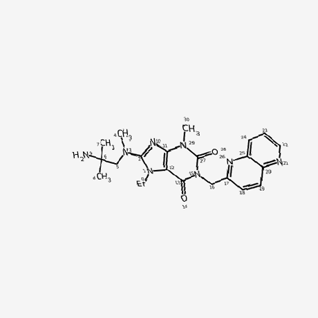 CCn1c(N(C)CC(C)(C)N)nc2c1c(=O)n(Cc1ccc3ncccc3n1)c(=O)n2C